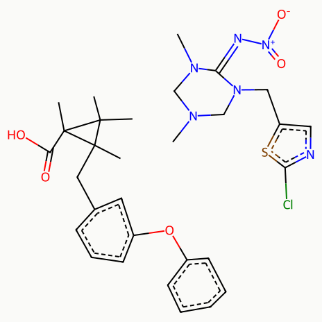 CC1(C)C(C)(Cc2cccc(Oc3ccccc3)c2)C1(C)C(=O)O.CN1CN(C)C(=N[N+](=O)[O-])N(Cc2cnc(Cl)s2)C1